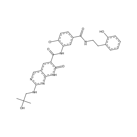 CC(C)(O)CNc1ncc2cc(C(=O)Nc3cc(C(=O)NCCc4ccccc4O)ccc3Cl)c(=O)[nH]c2n1